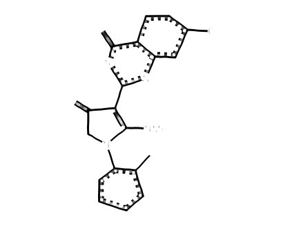 CNC1=C(c2nc3cc(F)ccc3c(=O)[nH]2)C(=O)CN1c1ccccc1F